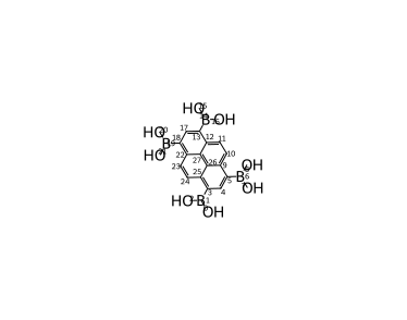 OB(O)c1cc(B(O)O)c2ccc3c(B(O)O)cc(B(O)O)c4ccc1c2c43